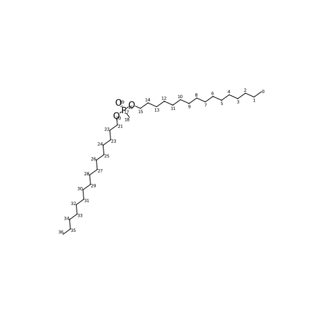 CCCCCCCCCCCCCCCCOP(C)(=O)OCCCCCCCCCCCCCCCC